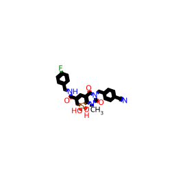 Cn1c2c(c(=O)n(Cc3ccc(C#N)cc3)c1=O)C=C(C(=O)NCc1ccc(F)cc1)CS2(O)O